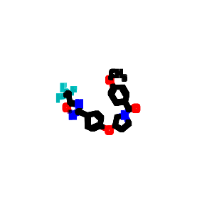 COc1ccc(C(=O)N2CC[C@H](Oc3ccc(-c4noc(C(F)(F)F)n4)cc3)C2)cc1